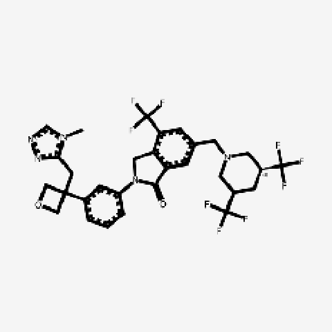 Cn1cnnc1CC1(c2cccc(N3Cc4c(cc(CN5CC(C(F)(F)F)C[C@H](C(F)(F)F)C5)cc4C(F)(F)F)C3=O)c2)COC1